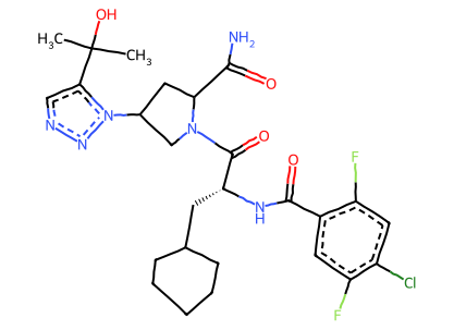 CC(C)(O)c1cnnn1C1CC(C(N)=O)N(C(=O)[C@@H](CC2CCCCC2)NC(=O)c2cc(F)c(Cl)cc2F)C1